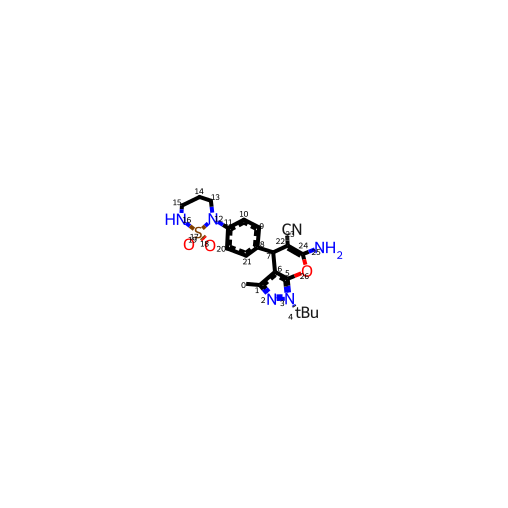 Cc1nn(C(C)(C)C)c2c1C(c1ccc(N3CCCNS3(=O)=O)cc1)C(C#N)=C(N)O2